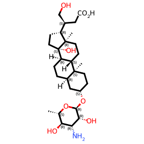 C[C@@H]1O[C@@H](O[C@H]2CC[C@@]3(C)[C@H](CC[C@@H]4[C@@H]3CC[C@]3(C)[C@@H]([C@@H](CO)CC(=O)O)CC[C@]43O)C2)[C@H](O)[C@H](N)[C@H]1O